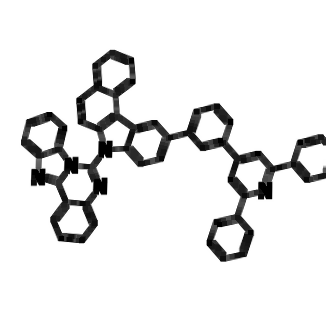 c1ccc(-c2cc(-c3cccc(-c4ccc5c(c4)c4c6ccccc6ccc4n5-c4nc5ccccc5c5nc6ccccc6n45)c3)cc(-c3ccccc3)n2)cc1